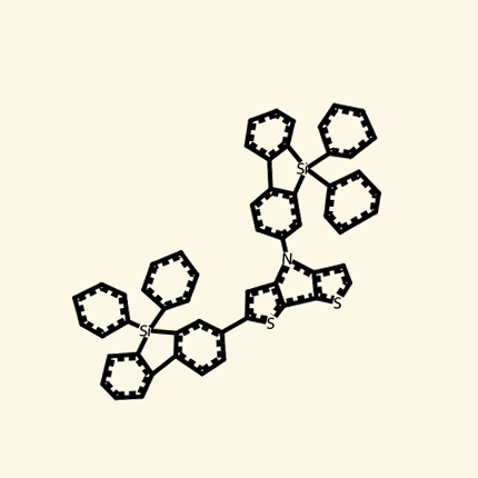 c1ccc([Si]2(c3ccccc3)c3ccccc3-c3ccc(-c4cc5c(s4)c4sccc4n5-c4ccc5c(c4)[Si](c4ccccc4)(c4ccccc4)c4ccccc4-5)cc32)cc1